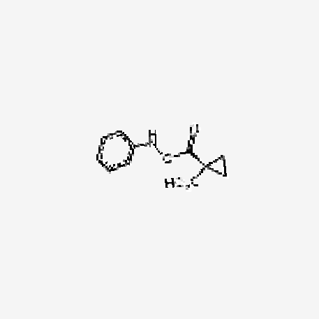 O=C(O)C1(C(=O)ONc2ccccc2)CC1